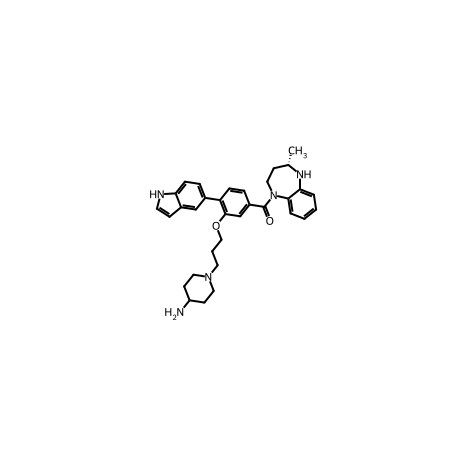 C[C@H]1CCN(C(=O)c2ccc(-c3ccc4[nH]ccc4c3)c(OCCCN3CCC(N)CC3)c2)c2ccccc2N1